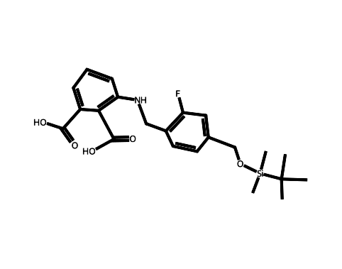 CC(C)(C)[Si](C)(C)OCc1ccc(CNc2cccc(C(=O)O)c2C(=O)O)c(F)c1